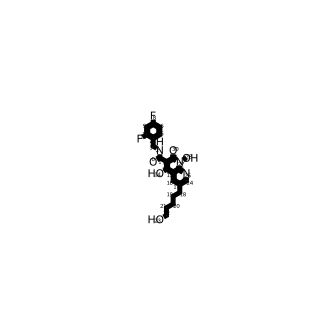 O=C(NCc1ccc(F)cc1F)c1c(O)c2cc(CCCCCO)cnc2n(O)c1=O